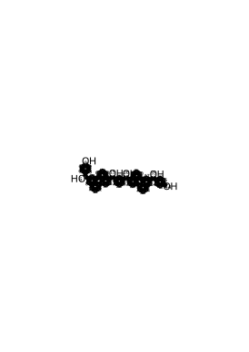 Oc1ccc(C(O)c2cc3cccc4c5ccc(C(O)c6cccc(C(O)c7ccc8c9cccc%10cc(C(O)c%11ccc(O)cc%11)cc(c%11cccc7c8%11)c%109)c6)c6cccc(c(c2)c34)c65)cc1